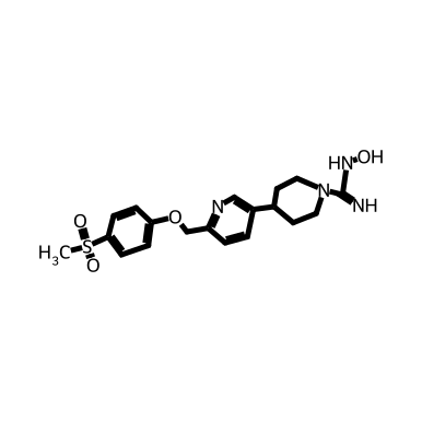 CS(=O)(=O)c1ccc(OCc2ccc(C3CCN(C(=N)NO)CC3)cn2)cc1